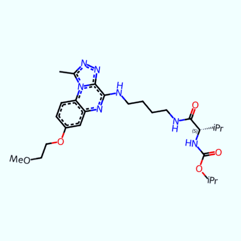 COCCOc1ccc2c(c1)nc(NCCCCNC(=O)[C@@H](NC(=O)OC(C)C)C(C)C)c1nnc(C)n12